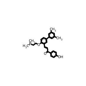 Cc1cc(C)cc(-c2ccc(OCCN(C)C)c(C=CC(=O)c3ccc(O)cc3)c2)c1